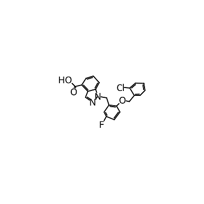 O=C(O)c1cccc2c1cnn2Cc1cc(F)ccc1OCc1ccccc1Cl